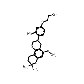 CCCOc1ccc(C2COc3c(c(OC)cc4c3CCC(C)(C)O4)C2)c(O)c1